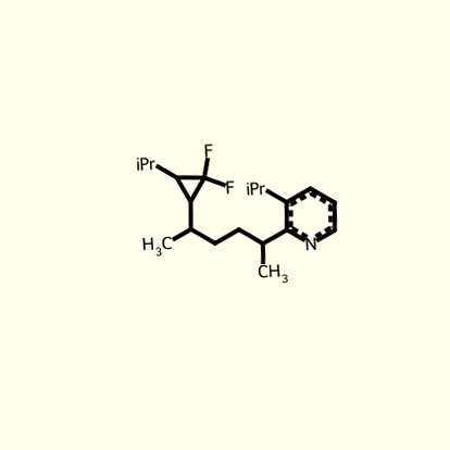 CC(C)c1cccnc1C(C)CCC(C)C1C(C(C)C)C1(F)F